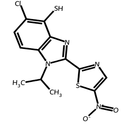 CC(C)n1c(-c2ncc([N+](=O)[O-])s2)nc2c(S)c(Cl)ccc21